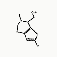 COCC1c2sc(Br)cc2CCN1C